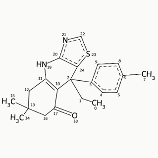 CCC1(c2ccc(C)cc2)C2=C(CC(C)(C)CC2=O)Nc2ncsc21